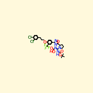 CC(C)(C)OC(=O)NC(=NC(=O)O)N1CCCC1c1nc(-c2ccc(OCCCc3ccc(Cl)c(Cl)c3)c(C(F)(F)F)c2)no1